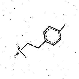 O=S(=O)(F)CCc1ccc(F)cc1